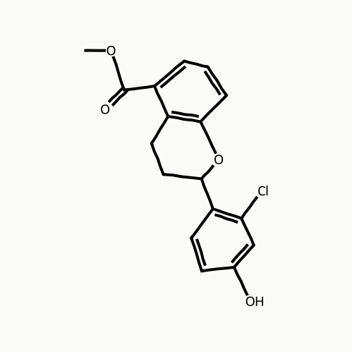 COC(=O)c1cccc2c1CCC(c1ccc(O)cc1Cl)O2